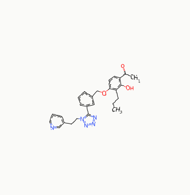 CCCc1c(OCc2cccc(-c3nnnn3CCc3cccnc3)c2)ccc(C(C)=O)c1O